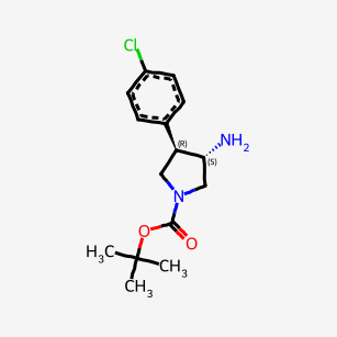 CC(C)(C)OC(=O)N1C[C@@H](N)[C@H](c2ccc(Cl)cc2)C1